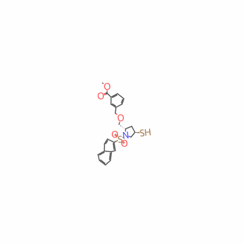 COC(=O)c1cccc(COC[C@@H]2C[C@@H](S)CN2S(=O)(=O)c2ccc3ccccc3c2)c1